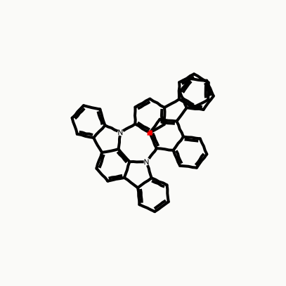 c1ccc(-c2ccc(-n3c4ccccc4c4ccc5c6ccccc6n(-c6ccc(-c7ccccc7)c7ccccc67)c5c43)cc2)cc1